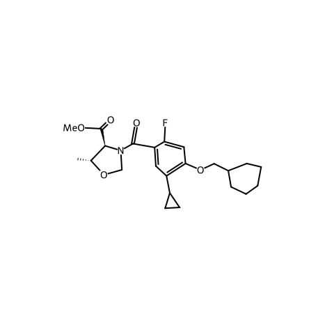 COC(=O)[C@@H]1[C@@H](C)OCN1C(=O)c1cc(C2CC2)c(OCC2CCCCC2)cc1F